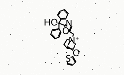 OC(c1ccccc1)(c1ccccc1)c1ncc(C[N+]23CCC(CC2)C(Oc2cccs2)C3)o1